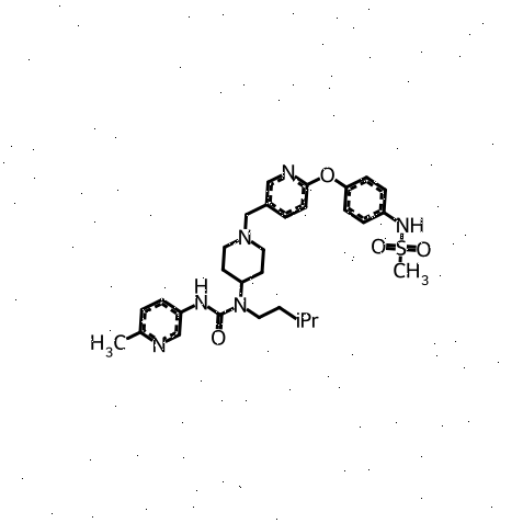 Cc1ccc(NC(=O)N(CCC(C)C)C2CCN(Cc3ccc(Oc4ccc(NS(C)(=O)=O)cc4)nc3)CC2)cn1